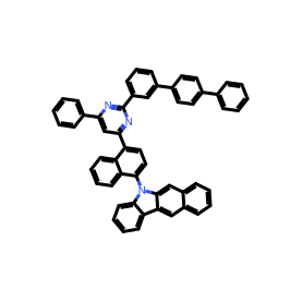 c1ccc(-c2ccc(-c3cccc(-c4nc(-c5ccccc5)cc(-c5ccc(-n6c7ccccc7c7cc8ccccc8cc76)c6ccccc56)n4)c3)cc2)cc1